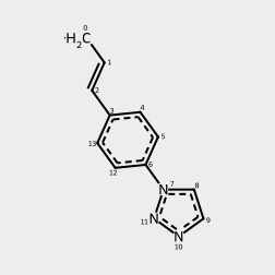 [CH2]/C=C/c1ccc(-n2ccnn2)cc1